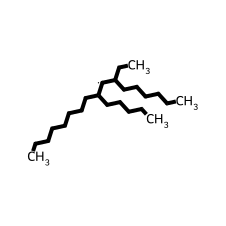 CCCCCCCCC([CH]C(CC)CCCCCC)CCCCC